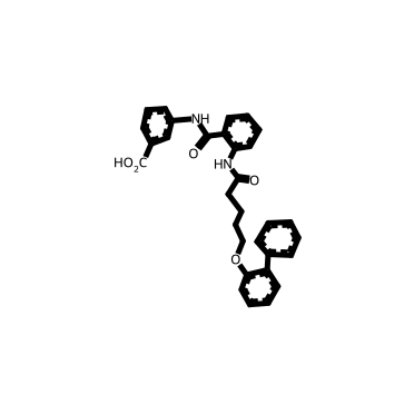 O=C(CCCCOc1ccccc1-c1ccccc1)Nc1ccccc1C(=O)Nc1cccc(C(=O)O)c1